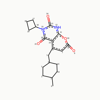 CC1CCC(Cc2cc(=O)oc3[nH]c(=O)n(C4CCC4)c(=O)c23)CC1